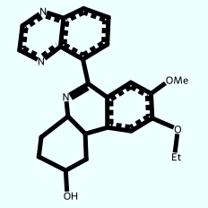 CCOc1cc2c(cc1OC)C(c1cccc3nccnc13)=NC1CCC(O)CC21